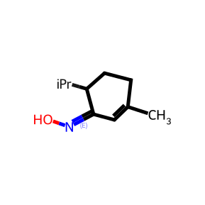 CC1=C/C(=N/O)C(C(C)C)CC1